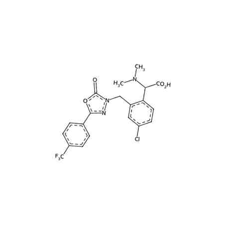 CN(C)C(C(=O)O)c1ccc(Cl)cc1Cn1nc(-c2ccc(C(F)(F)F)cc2)oc1=O